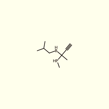 C#CC(C)(BCC(C)C)PC